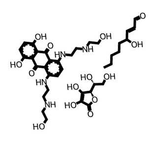 CCCCCC(O)/C=C/C=O.O=C1O[C@H]([C@H](O)CO)C(O)=C1O.O=C1c2c(O)ccc(O)c2C(=O)c2c(NCCNCCO)ccc(NCCNCCO)c21